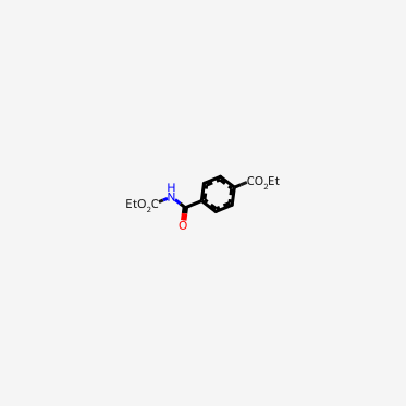 CCOC(=O)NC(=O)c1ccc(C(=O)OCC)cc1